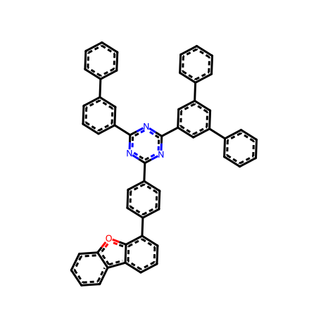 c1ccc(-c2cccc(-c3nc(-c4ccc(-c5cccc6c5oc5ccccc56)cc4)nc(-c4cc(-c5ccccc5)cc(-c5ccccc5)c4)n3)c2)cc1